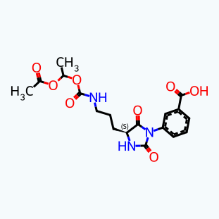 CC(=O)OC(C)OC(=O)NCCC[C@@H]1NC(=O)N(c2cccc(C(=O)O)c2)C1=O